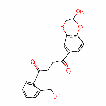 O=C(CCC(=O)c1ccccc1CO)c1ccc2c(c1)OCC(O)O2